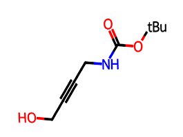 CC(C)(C)OC(=O)NCC#CCO